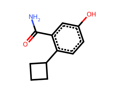 NC(=O)c1cc(O)ccc1C1CCC1